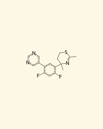 CC1=NC(C)(c2cc(-c3cncnc3)c(F)cc2F)CCS1